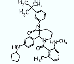 CNc1cccc(C)c1C(=O)N1CCCC2(C(=O)N2c2cccc(C(C)(C)C)c2)C1c1ccc(NC2CCCC2)cc1